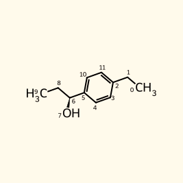 CCc1ccc([C@@H](O)CC)cc1